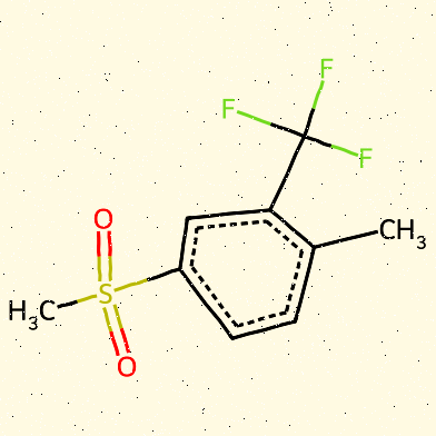 Cc1ccc(S(C)(=O)=O)cc1C(F)(F)F